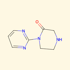 O=C1CNCCN1c1ncccn1